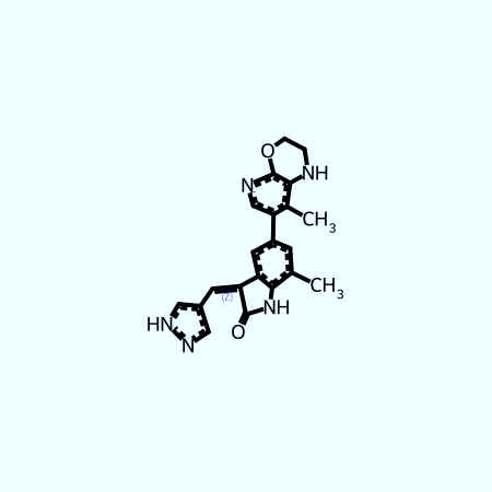 Cc1cc(-c2cnc3c(c2C)NCCO3)cc2c1NC(=O)/C2=C\c1cn[nH]c1